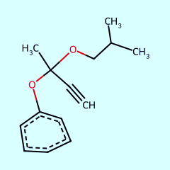 C#CC(C)(OCC(C)C)Oc1ccccc1